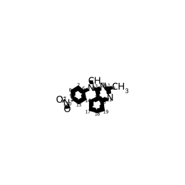 Cc1nc(N(C)c2ccc([N+](=O)[O-])cc2)c2ccccc2n1